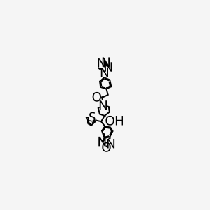 O=C(Cc1ccc(-n2cnnn2)cc1)N1CCC(O)(C(c2ccc3nonc3c2)c2cccs2)CC1